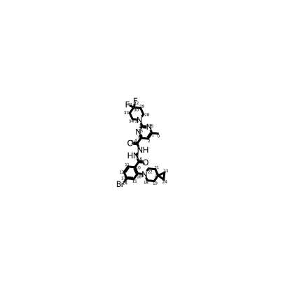 Cc1cc(C(=O)NNC(=O)c2ccc(Br)cc2N2CCC3(CC2)CC3)nc(N2CCC(F)(F)CC2)n1